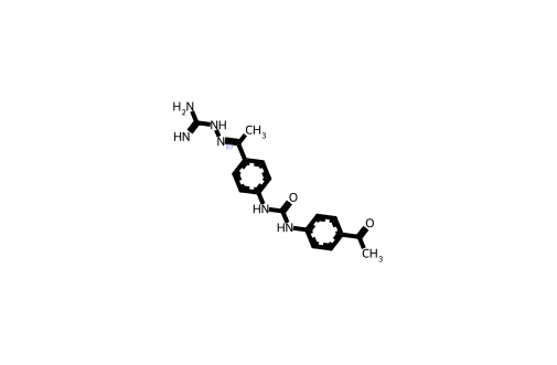 CC(=O)c1ccc(NC(=O)Nc2ccc(/C(C)=N/NC(=N)N)cc2)cc1